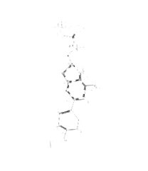 CC(C)(C)OC(=O)NCc1cc2cc(C3=CC=C(C(F)(F)F)CC3)cc(Cl)c2o1